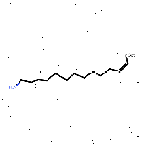 CCCCCCCC/C=C\CCCCCCCCCCCN